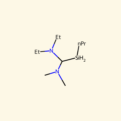 CCC[SiH2]C(N(C)C)N(CC)CC